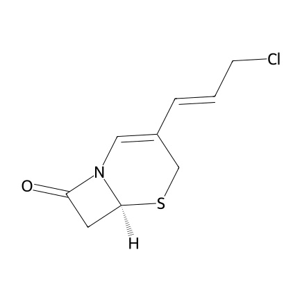 O=C1C[C@@H]2SCC(/C=C/CCl)=CN12